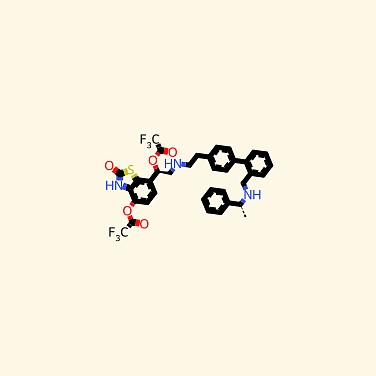 C[C@@H](NCc1ccccc1-c1ccc(CCNC[C@H](OC(=O)C(F)(F)F)c2ccc(OC(=O)C(F)(F)F)c3[nH]c(=O)sc23)cc1)c1ccccc1